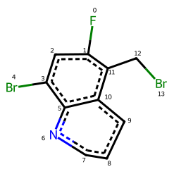 Fc1cc(Br)c2ncccc2c1CBr